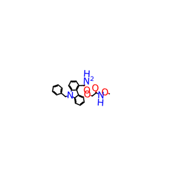 CONC(=O)COc1cccc2c1c1c(C(N)=O)cccc1n2Cc1ccccc1